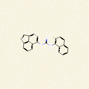 N=C(Nc1c(F)ccc2ccccc12)Nc1ccc2c3c(cccc13)C=C2